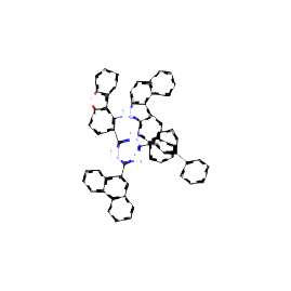 c1ccc(-c2cccc(-c3nc(-c4ccc5oc6ccccc6c5c4-n4c5cc6ccccc6cc5c5c6ccccc6ccc54)nc(-c4cc5ccccc5c5ccccc45)n3)c2)cc1